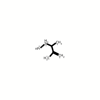 C=C(C)C(C)[SiH2]CCC